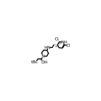 CC(C)(C)C[C@H](O)N1CCC(NCC[C@H]2CC=C(Cl)N[C@H]2Cl)CC1